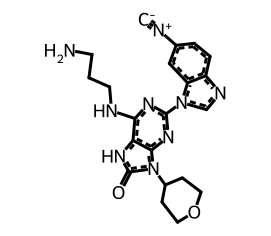 [C-]#[N+]c1ccc2ncn(-c3nc(NCCCN)c4[nH]c(=O)n(C5CCOCC5)c4n3)c2c1